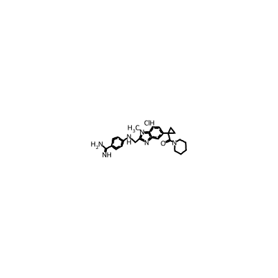 Cl.Cn1c(CNc2ccc(C(=N)N)cc2)nc2cc(C3(C(=O)N4CCCCC4)CC3)ccc21